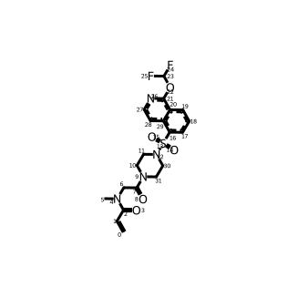 C=CC(=O)N(C)CC(=O)N1CCN(S(=O)(=O)c2cccc3c(OC(F)F)nccc23)CC1